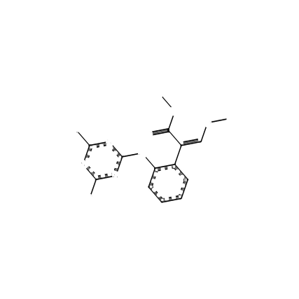 COC=C(C(=O)OC)c1ccccc1Oc1nc(Cl)nc(Cl)n1